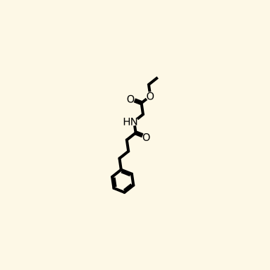 CCOC(=O)CNC(=O)CCCc1ccccc1